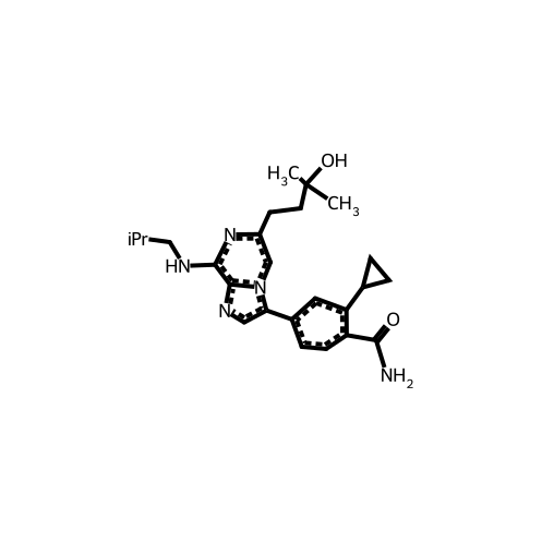 CC(C)CNc1nc(CCC(C)(C)O)cn2c(-c3ccc(C(N)=O)c(C4CC4)c3)cnc12